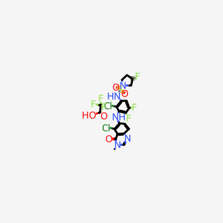 Cn1cnc2ccc(Nc3c(F)c(F)cc(NS(=O)(=O)N4CC[C@@H](F)C4)c3Cl)c(Cl)c2c1=O.O=C(O)C(F)(F)F